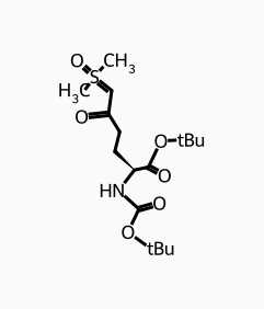 CC(C)(C)OC(=O)N[C@@H](CCC(=O)C=S(C)(C)=O)C(=O)OC(C)(C)C